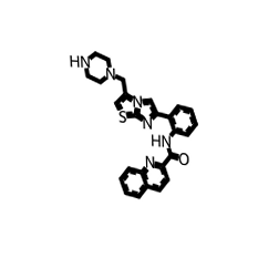 O=C(Nc1ccccc1-c1cn2c(CN3CCNCC3)csc2n1)c1ccc2ccccc2n1